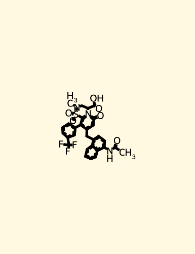 CC(=O)Nc1ccc(Cc2cc(=O)n3c(c2-c2cccc(C(F)(F)F)c2)S(=O)(=O)N(C)CC3C(=O)O)c2ccccc12